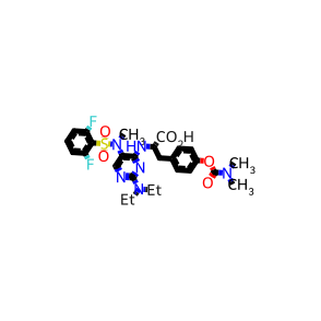 CCN(CC)c1ncc(N(C)S(=O)(=O)c2c(F)cccc2F)c(NC(Cc2ccc(OC(=O)N(C)C)cc2)C(=O)O)n1